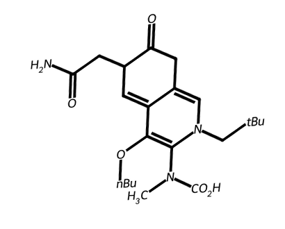 CCCCOC1=C(N(C)C(=O)O)N(CC(C)(C)C)C=C2CC(=O)C(CC(N)=O)C=C21